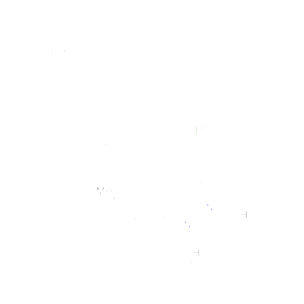 CC#Cc1cc(Cl)c(C2C(=O)N(C)N(C)C2=O)c(OC)c1